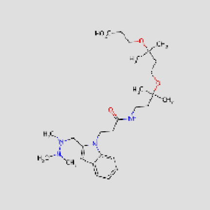 CN(C)N(C)Cc1cc2ccccc2n1CCC(=O)NCCC(C)(C)OCCC(C)(C)OCCC(=O)O